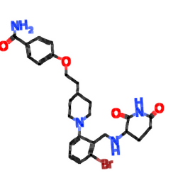 NC(=O)c1ccc(OCCC2CCN(c3cccc(Br)c3CNC3CCC(=O)NC3=O)CC2)cc1